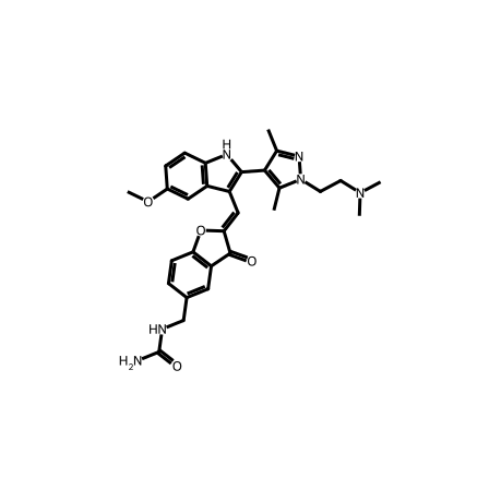 COc1ccc2[nH]c(-c3c(C)nn(CCN(C)C)c3C)c(C=C3Oc4ccc(CNC(N)=O)cc4C3=O)c2c1